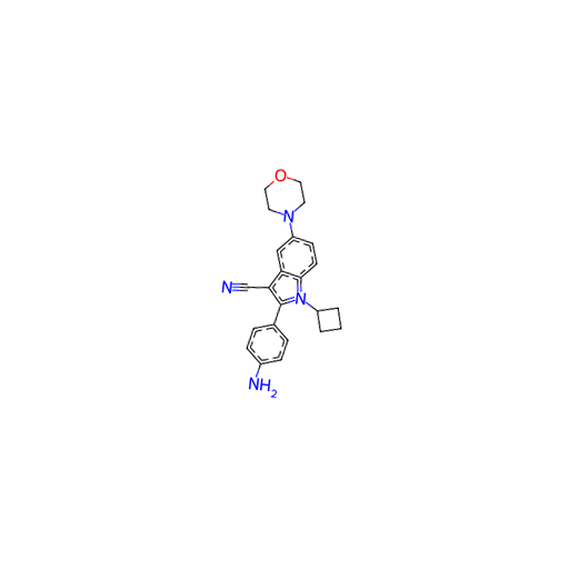 N#Cc1c(-c2ccc(N)cc2)n(C2CCC2)c2ccc(N3CCOCC3)cc12